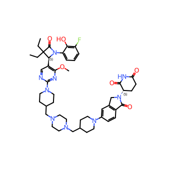 CCC1(CC)C(=O)N(c2cccc(F)c2O)[C@H]1c1cnc(N2CCC(CN3CCN(CC4CCN(c5ccc6c(c5)CN([C@H]5CCC(=O)NC5=O)C6=O)CC4)CC3)CC2)nc1OC